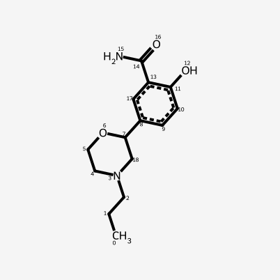 CCCN1CCOC(c2ccc(O)c(C(N)=O)c2)C1